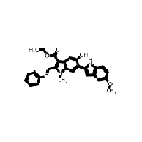 CCOC(=O)c1c(COc2ccccc2)n(C)c2cc(-c3cc4cc(OC)ccc4[nH]3)c(O)cc12